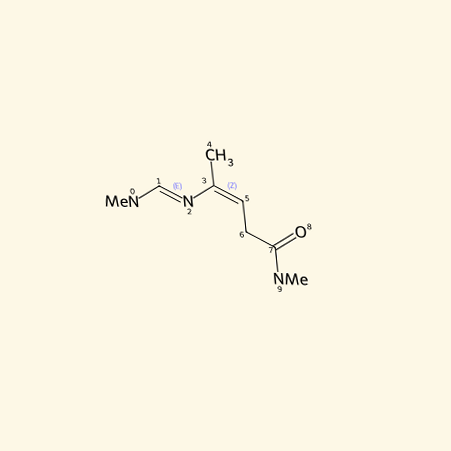 CN/C=N/C(C)=C\CC(=O)NC